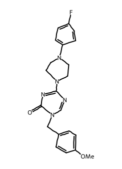 COc1ccc(Cn2cnc(N3CCN(c4ccc(F)cc4)CC3)nc2=O)cc1